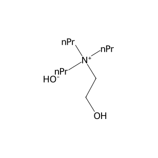 CCC[N+](CCC)(CCC)CCO.[OH-]